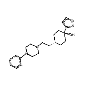 O[C@]1(c2cccs2)CC[C@@H](CCN2CCN(c3ccccn3)CC2)CC1